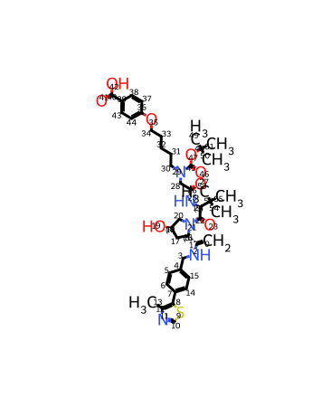 C=C(NCc1ccc(-c2scnc2C)cc1)[C@@H]1C[C@@H](O)CN1C(=O)[C@@H](NC(=O)CN(CCCCCOc1ccc(C(=O)O)cc1)C(=O)OC(C)(C)C)C(C)(C)C